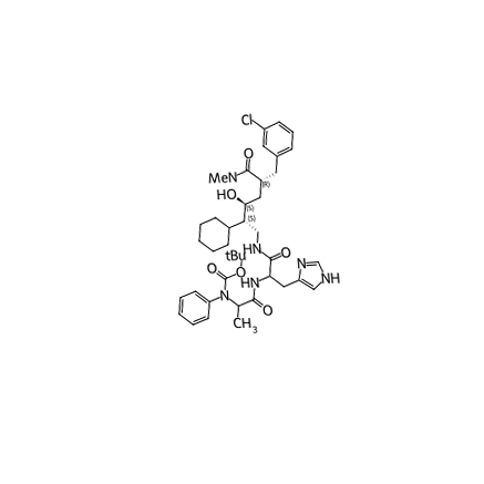 CNC(=O)[C@H](Cc1cccc(Cl)c1)C[C@H](O)[C@H](CNC(=O)C(Cc1c[nH]cn1)NC(=O)C(C)N(C(=O)OC(C)(C)C)c1ccccc1)C1CCCCC1